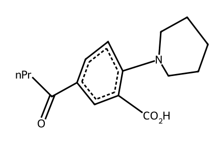 CCCC(=O)c1ccc(N2CCCCC2)c(C(=O)O)c1